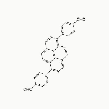 O=Cc1ccc(-c2ccc3ccc4c(-c5ccc(C=O)cc5)ccc5ccc2c3c54)cc1